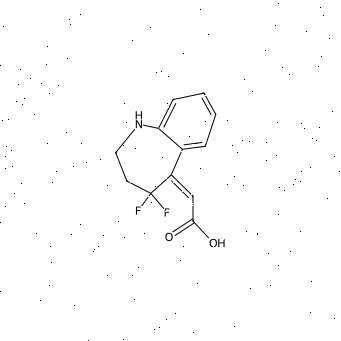 O=C(O)/C=C1/c2ccccc2NCCC1(F)F